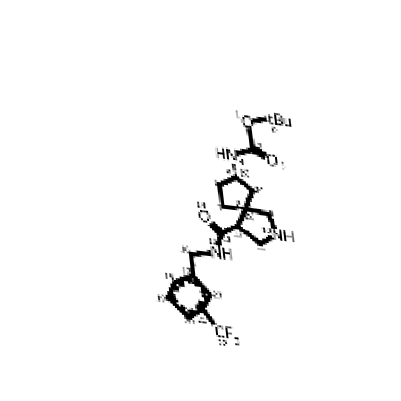 CC(C)(C)OC(=O)N[C@H]1CC[C@]2(CNCC2C(=O)NCc2cccc(C(F)(F)F)c2)C1